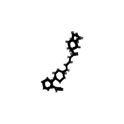 COc1ccccc1N1CCN(CCCCNc2ccc3scnc3c2)CC1